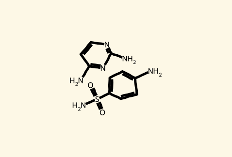 Nc1ccc(S(N)(=O)=O)cc1.Nc1ccnc(N)n1